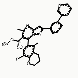 Cc1nc2cc(-c3cccc(-c4cccnc4)c3)nn2c(-c2cc(F)c3c(c2C)CCCO3)c1[C@H](OC(C)(C)C)C(=O)O